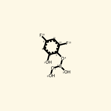 OOB(O)Oc1c(O)cc(F)cc1F